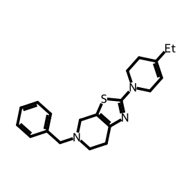 CCC1=CCN(c2nc3c(s2)CN(Cc2ccccc2)CC3)CC1